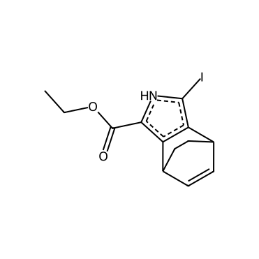 CCOC(=O)c1[nH]c(I)c2c1C1C=CC2CC1